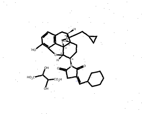 O=C(O)C(O)C(O)C(=O)O.O=C1C/C(=C/C2CCCCC2)C(=O)N1[C@@H]1CC[C@@]2(O)[C@H]3Cc4ccc(O)c5c4[C@@]2(CCN3CC2CC2)[C@H]1O5